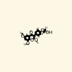 COC(=O)C(C(=O)c1cc(OC)cc(OC)c1)c1ccc(OC(C)(C)O)cc1